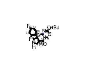 CN1C(=O)[C@@H]2CNC[C@]2(c2ccc(F)cc2F)N/C1=N/C(=O)OC(C)(C)C